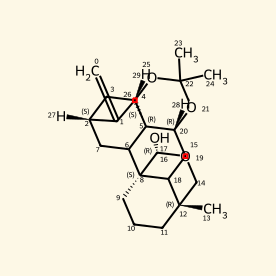 C=C1[C@H]2CC[C@@]34C(C2)[C@@]25CCC[C@@](C)(CO[C@H]2O)C5C[C@H]3OC(C)(C)O[C@@H]14